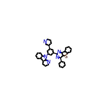 c1ccc(-c2nc(-c3cc(-c4cccnc4)cc(-n4c5ccccc5c5cccnc54)c3)nc3c2sc2ccccc23)cc1